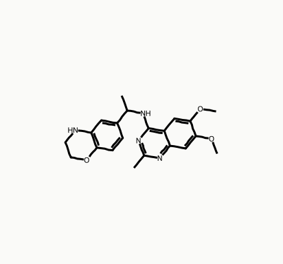 COc1cc2nc(C)nc(NC(C)c3ccc4c(c3)NCCO4)c2cc1OC